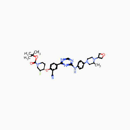 C[C@H]1CN(c2ccc(Nc3ncnc(-c4ccc(O[C@H]5CCN(C(=O)OC(C)(C)C)C[C@@H]5F)c(C#N)c4)n3)cc2)CCN1C1COC1